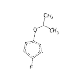 CC(C)Oc1c[c]c(F)cc1